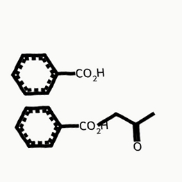 CCC(C)=O.O=C(O)c1ccccc1.O=C(O)c1ccccc1